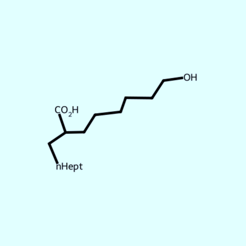 CCCCCCCCC(CCCCCCO)C(=O)O